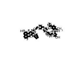 C#Cc1c(F)ccc2cc(O)cc(-c3ncc4c(N5CC6CCC(C5)N6)nc(OCCN5CCC(CN6CCN(c7cc(C(C(=O)N8C[C@H](O)C[C@H]8C(=O)NC(C)c8ccc(-c9scnc9C)cc8)C(C)C)on7)CC6)CC5)nc4c3F)c12